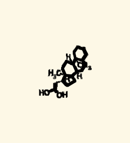 C[C@]12CC[C@H]3[C@@H](CCC4CCCC[C@@]43C)[C@@H]1CC[C@@H]2C=C(O)O